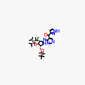 CC(C)[Si](O[C@@H]1[C@@H](CO[Si](C)(C)C(C)(C)C)C[C@@H](Nc2ncncc2C(=O)c2cc[nH]n2)[C@H]1F)(C(C)C)C(C)C